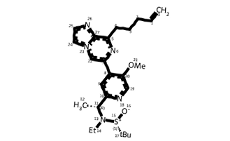 C=CCCCc1nc(-c2cc([C@@H](C)N(CC)[S@+]([O-])C(C)(C)C)ncc2OC)cn2ccnc12